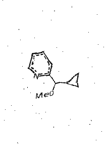 COC(c1ccccn1)C1CC1